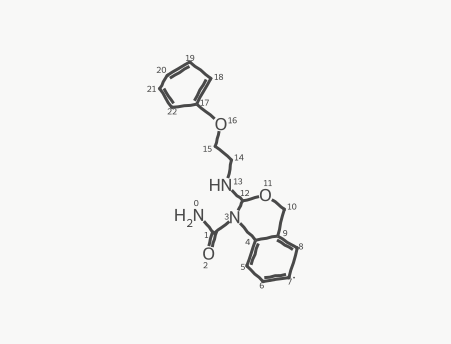 NC(=O)N1c2cc[c]cc2COC1NCCOc1ccccc1